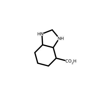 O=C(O)C1CCCC2NCNC21